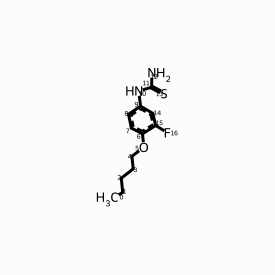 CCCCCOc1ccc(NC(N)=S)cc1F